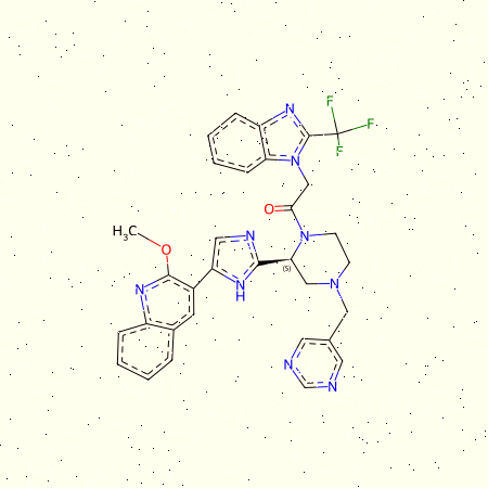 COc1nc2ccccc2cc1-c1cnc([C@@H]2CN(Cc3cncnc3)CCN2C(=O)Cn2c(C(F)(F)F)nc3ccccc32)[nH]1